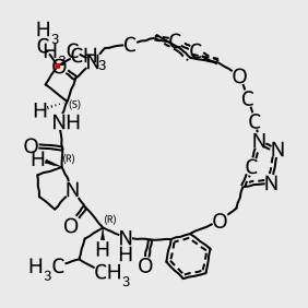 CC(C)C[C@@H]1NC(=O)[C@H]2CCCN2C(=O)[C@@H](CC(C)C)NC(=O)c2ccccc2OCc2cn(nn2)CCOc2ccc(cc2)CCN(C)C1=O